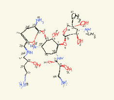 CN[C@@H]1[C@@H](O)[C@@H](O[C@@H]2[C@@H](O)[C@H](O[C@H]3OC(CNCC(O)CCN)=CC[C@H]3N)[C@@H](N)C[C@H]2NC(=O)[C@@H](O)CN)OC[C@]1(C)O